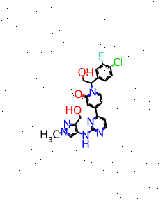 Cn1cc(Nc2nccc(-c3ccn(C(CO)c4ccc(Cl)c(F)c4)c(=O)c3)n2)c(CO)n1